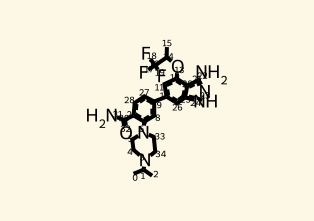 CC(C)N1CCN(c2cc(-c3cc(OC(C)C(F)(F)F)c4c(N)n[nH]c4c3)ccc2C(N)=O)CC1